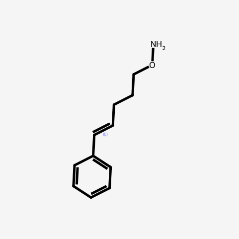 NOCCC/C=C/c1ccccc1